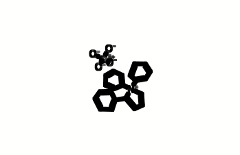 C1=C[N+](c2ccccc2)(c2ccccc2)C(c2ccccc2)=C1.[O-][Cl+3]([O-])([O-])[O-]